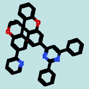 c1ccc(-c2cc(-c3ccc4c(c3)Oc3ccccc3[Si]43c4ccccc4Oc4cc(-c5ccccn5)ccc43)nc(-c3ccccc3)n2)cc1